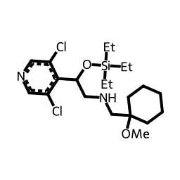 CC[Si](CC)(CC)OC(CNCC1(OC)CCCCC1)c1c(Cl)cncc1Cl